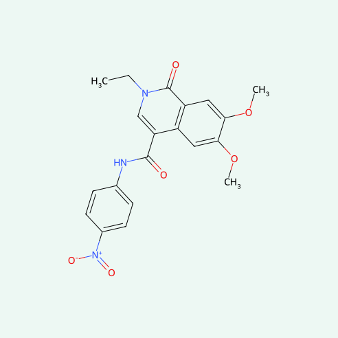 CCn1cc(C(=O)Nc2ccc([N+](=O)[O-])cc2)c2cc(OC)c(OC)cc2c1=O